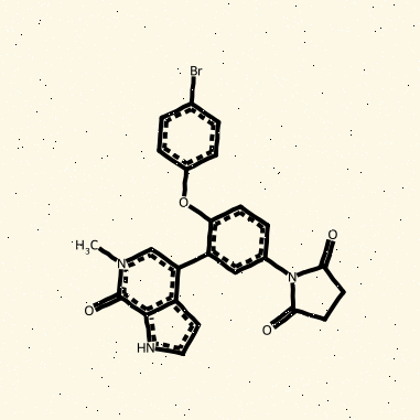 Cn1cc(-c2cc(N3C(=O)CCC3=O)ccc2Oc2ccc(Br)cc2)c2cc[nH]c2c1=O